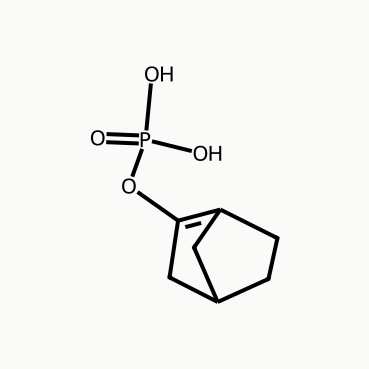 O=P(O)(O)OC1=C2CCC(C2)C1